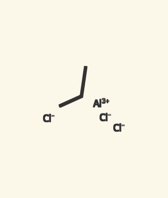 CCC.[Al+3].[Cl-].[Cl-].[Cl-]